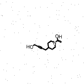 C=C(O)N1CCC(CC#CCO)CC1